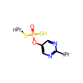 CCCSP(=O)(S)Oc1cnc(C(C)C)nc1